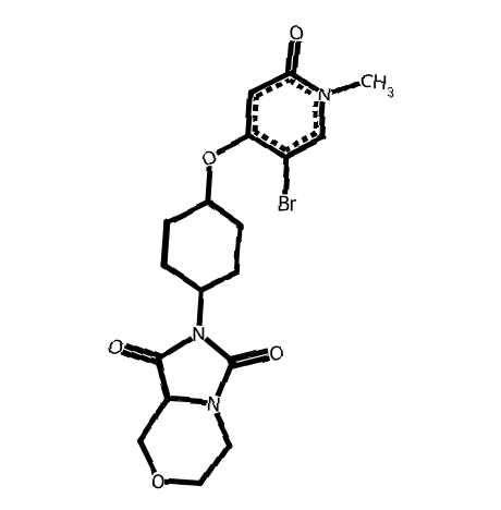 Cn1cc(Br)c(OC2CCC(N3C(=O)C4COCCN4C3=O)CC2)cc1=O